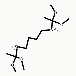 COC(C)(OC)[SiH2]CCCC[SiH2]C(C)(OC)OC